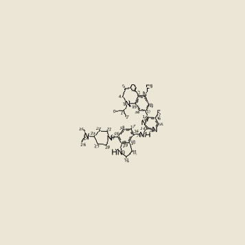 CC(C)N1CCOc2c(F)cc(-c3nc(Nc4ccc(N5CCC(N(C)C)CC5)c5c4CCN5)ncc3F)cc21